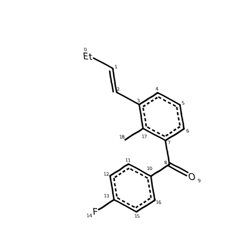 CCC=Cc1cccc(C(=O)c2ccc(F)cc2)c1C